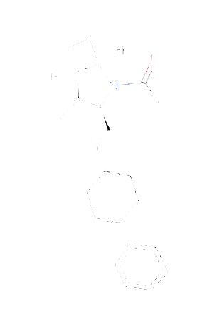 CC(=O)N1[C@@H]2CC[C@@H]2C(=O)[C@@H]1CO[C@H]1CC[C@@H](c2ccccc2)CC1